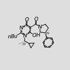 CCCCc1nc(=O)c(C(=O)N2CC[C@@H](c3ccccc3)C2)c(O)n1[C@@H](C)C1CC1